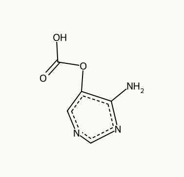 Nc1ncncc1OC(=O)O